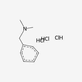 CN(C)Cc1ccccc1.Cl.Cl.Cl